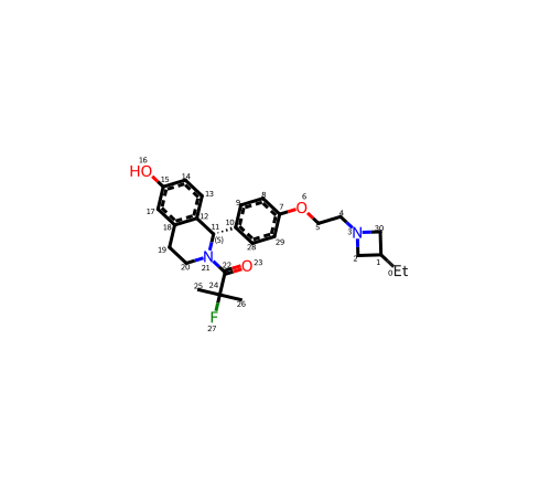 CCC1CN(CCOc2ccc([C@H]3c4ccc(O)cc4CCN3C(=O)C(C)(C)F)cc2)C1